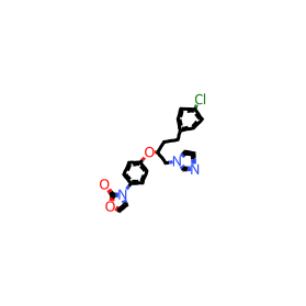 O=c1occn1-c1ccc(OC(CCc2ccc(Cl)cc2)Cn2ccnc2)cc1